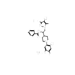 COc1cc(N2CCC(C(Cn3nc(C(F)(F)F)c(Cl)c3C)NC(=O)c3ccccc3)CC2)c(Cl)cc1Cl